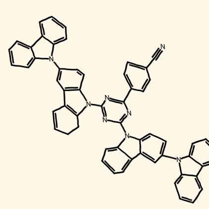 N#Cc1ccc(-c2nc(-n3c4c(c5cc(-n6c7ccccc7c7ccccc76)ccc53)C=CCC4)nc(-n3c4ccccc4c4cc(-n5c6ccccc6c6ccccc65)ccc43)n2)cc1